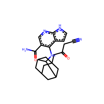 N#CCC(=O)CC12CC3CC(C1)C(Nc1c(C(N)=O)cnc4[nH]ccc14)C(C3)C2